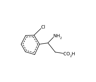 NC(CC(=O)O)c1ccccc1Cl